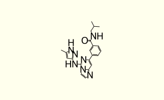 Cc1cc(Nc2nc(-c3cccc(C(=O)NCC(C)C)c3)cc3nccn23)n[nH]1